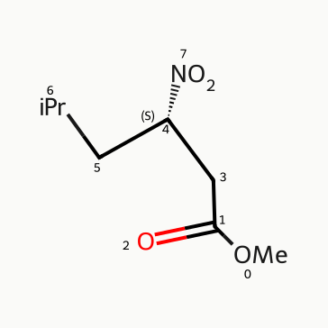 COC(=O)C[C@H](CC(C)C)[N+](=O)[O-]